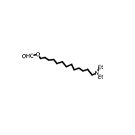 CCN(CC)CCCCCCCCCCCCCOC=O